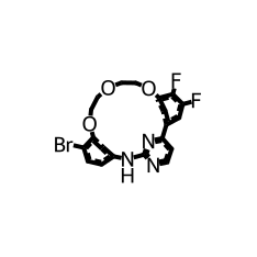 Fc1cc2cc(c1F)OCCOCCOc1cc(ccc1Br)Nc1nccc-2n1